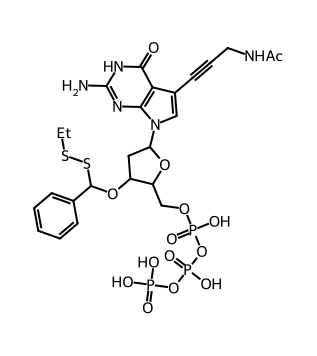 CCSSC(OC1CC(n2cc(C#CCNC(C)=O)c3c(=O)[nH]c(N)nc32)OC1COP(=O)(O)OP(=O)(O)OP(=O)(O)O)c1ccccc1